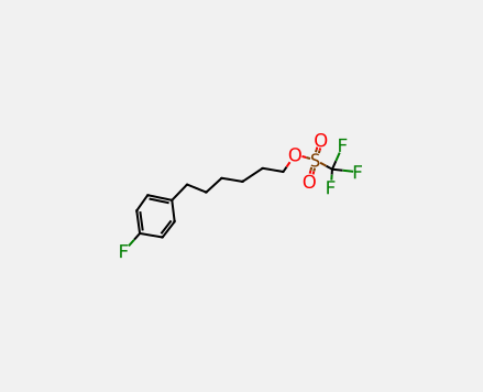 O=S(=O)(OCCCCCCc1ccc(F)cc1)C(F)(F)F